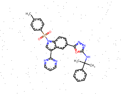 Cc1ccc(S(=O)(=O)n2cc(-c3ncccn3)c3cc(-c4nnc(NC(C)(C)c5ccccc5)o4)ccc32)cc1